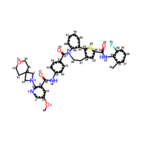 COc1cnc(N2CC3(CCOCC3)C2)c(C(=O)Nc2ccc(C(=O)N3CCc4cc(C(=O)Nc5c(C)cccc5F)sc4-c4ccccc43)cc2)c1